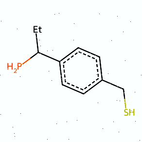 CCC(P)c1ccc(CS)cc1